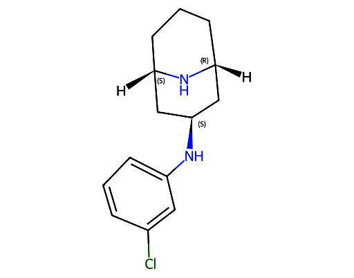 Clc1cccc(N[C@@H]2C[C@H]3CCC[C@@H](C2)N3)c1